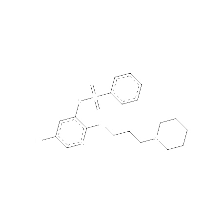 O=S(=O)(Nc1cc(Br)cnc1OCCCN1CCCCC1)c1ccccc1